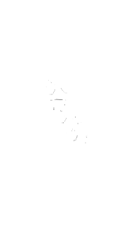 CC(C)(C)OC(=O)N1CC=C(COc2ccc([N+](=O)[O-])cc2Br)CC1